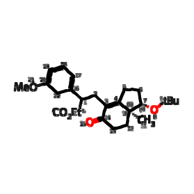 CCOC(=O)C(CC1=C2CC[C@H](OC(C)(C)C)[C@@]2(C)CCC1=O)C1=CC=C=C(OC)C1